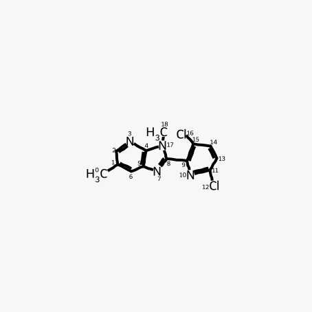 Cc1cnc2c(c1)nc(-c1nc(Cl)ccc1Cl)n2C